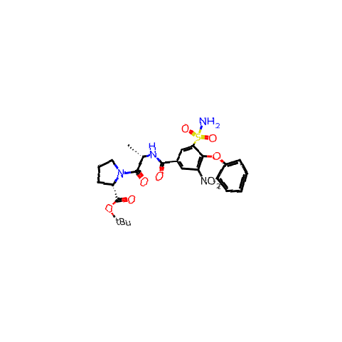 C[C@H](NC(=O)c1cc([N+](=O)[O-])c(Oc2ccccc2)c(S(N)(=O)=O)c1)C(=O)N1CCC[C@H]1C(=O)OC(C)(C)C